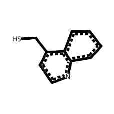 SCc1ccnc2ccccc12